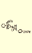 CCCOc1cc(=NC(=O)NCc2ccc(OC)cc2)cnn1-c1ccccc1